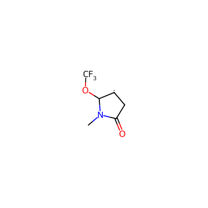 CN1C(=O)C[CH]C1OC(F)(F)F